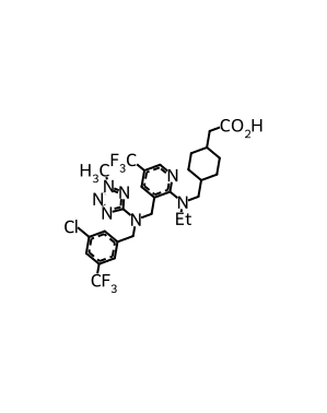 CCN(CC1CCC(CC(=O)O)CC1)c1ncc(C(F)(F)F)cc1CN(Cc1cc(Cl)cc(C(F)(F)F)c1)c1nnn(C)n1